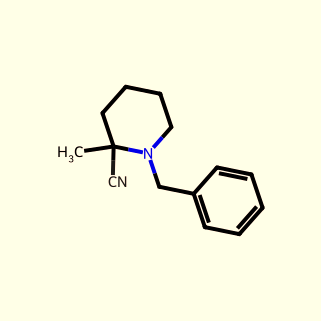 CC1(C#N)CCCCN1Cc1ccccc1